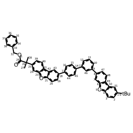 CC(C)(C)c1ccc2oc3cc(-c4cccc(-c5ccc(-c6ccc7oc8cc(C(C)(C)C(=O)OCc9ccccc9)ccc8c7c6)cc5)c4)ccc3c2c1